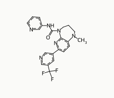 CN1CCCN(C(=O)Nc2cccnc2)c2nc(-c3cncc(C(F)(F)F)c3)ccc21